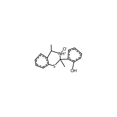 CC1c2ccccc2SC(C)(c2ccccc2O)[NH+]1[O-]